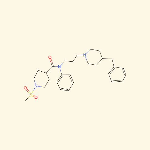 CS(=O)(=O)N1CCC(C(=O)N(CCCN2CCC(Cc3ccccc3)CC2)c2ccccc2)CC1